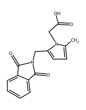 Cc1ccc(CN2C(=O)c3ccccc3C2=O)n1CC(=O)O